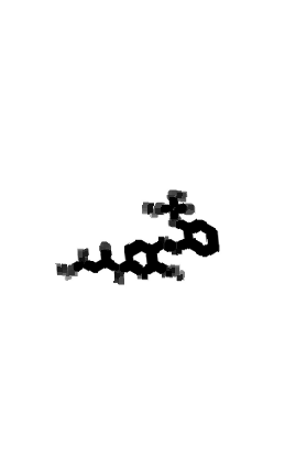 CNCC(=O)Nc1ccc(/N=N/c2ccccc2OP(C)(=O)O)c(N)n1